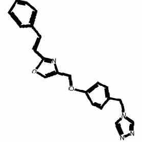 C(=Cc1nc(COc2ccc(Cn3cnnc3)cc2)co1)c1ccccc1